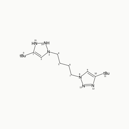 CC(C)(C)C1=CN(CCCCn2cc(C(C)(C)C)nn2)NN1